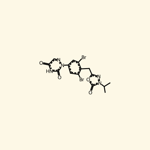 CC(C)n1nc(Cc2c(Br)cc(-n3ncc(=O)[nH]c3=O)cc2Br)oc1=O